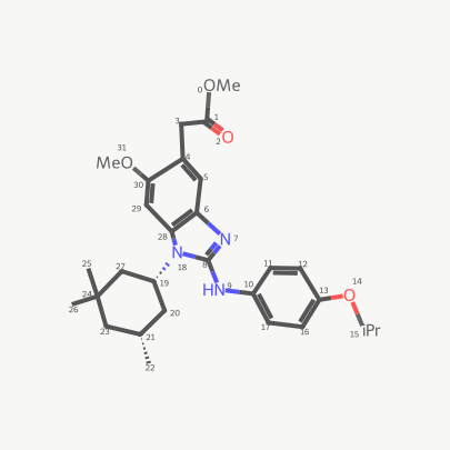 COC(=O)Cc1cc2nc(Nc3ccc(OC(C)C)cc3)n([C@@H]3C[C@H](C)CC(C)(C)C3)c2cc1OC